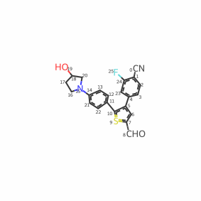 N#Cc1ccc(-c2cc(C=O)sc2-c2ccc(N3CCC(O)C3)cc2)cc1F